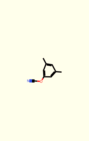 Cc1cc(C)cc(OC#N)c1